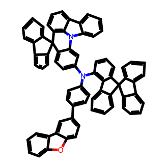 c1ccc2c(c1)-c1ccccc1C21c2ccccc2-c2c(N(c3ccc(-c4ccc5oc6ccccc6c5c4)cc3)c3ccc4c(c3)-n3c5ccccc5c5cccc(c53)C43c4ccccc4-c4ccccc43)cccc21